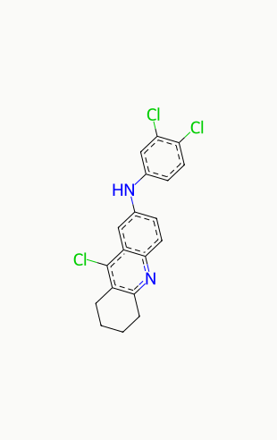 Clc1ccc(Nc2ccc3nc4c(c(Cl)c3c2)CCCC4)cc1Cl